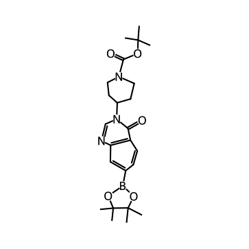 CC(C)(C)OC(=O)N1CCC(n2cnc3cc(B4OC(C)(C)C(C)(C)O4)ccc3c2=O)CC1